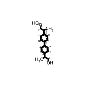 CC(CO)c1ccc(-c2ccc(C(C)COO)cc2)cc1